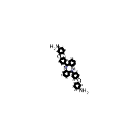 Nc1cccc(Oc2ccc(/C3=N/c4ccccc4/C(c4ccc(Oc5cccc(N)c5)cc4)=N\c4ccccc43)cc2)c1